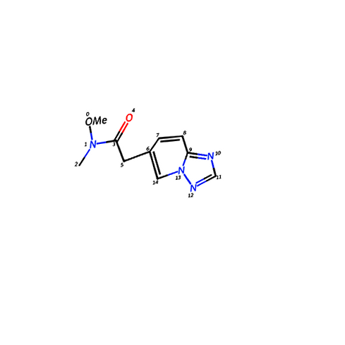 CON(C)C(=O)Cc1ccc2ncnn2c1